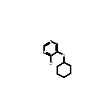 Clc1ncncc1OC1CCCCC1